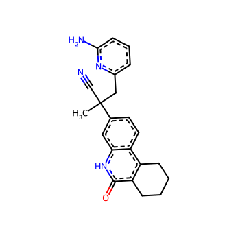 CC(C#N)(Cc1cccc(N)n1)c1ccc2c3c(c(=O)[nH]c2c1)CCCC3